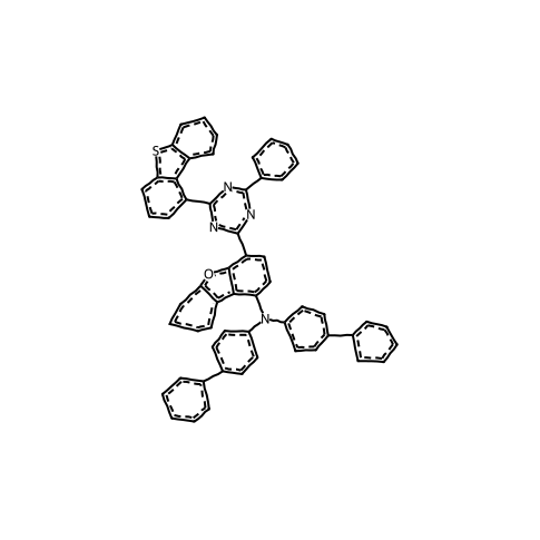 c1ccc(-c2ccc(N(c3ccc(-c4ccccc4)cc3)c3ccc(-c4nc(-c5ccccc5)nc(-c5cccc6sc7ccccc7c56)n4)c4oc5ccccc5c34)cc2)cc1